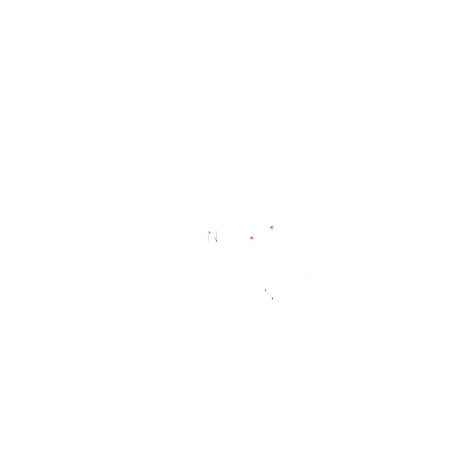 c1ccc(-c2ccc(N(c3ccc4c5ccccc5c5ccccc5c4c3)c3ccccc3-c3cccc4c3-n3c5ccccc5c5cccc(c53)C43c4ccccc4-c4ccccc43)cc2)cc1